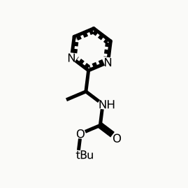 CC(NC(=O)OC(C)(C)C)c1ncccn1